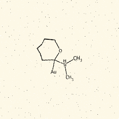 C[SiH](C)[C]1([Au])CCCCO1